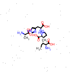 CC[C@H](C)[C@H](N)C(=O)O.C[C@H](N)C(=O)O.N[C@@H](Cc1c[nH]cn1)C(=O)O.O=C(O)[C@@H]1CCCN1